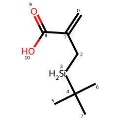 C=C(C[SiH2]C(C)(C)C)C(=O)O